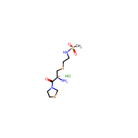 CS(=O)(=O)NCCSC[C@@H](N)C(=O)N1CCSC1.Cl